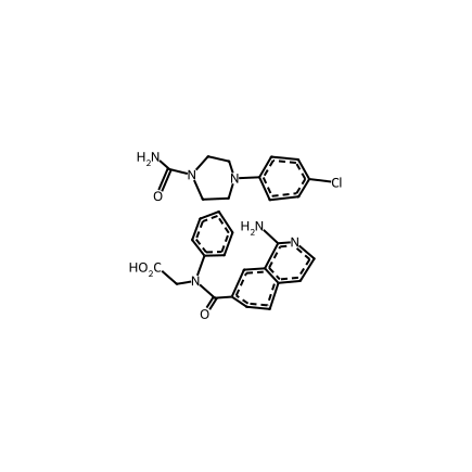 NC(=O)N1CCN(c2ccc(Cl)cc2)CC1.Nc1nccc2ccc(C(=O)N(CC(=O)O)c3ccccc3)cc12